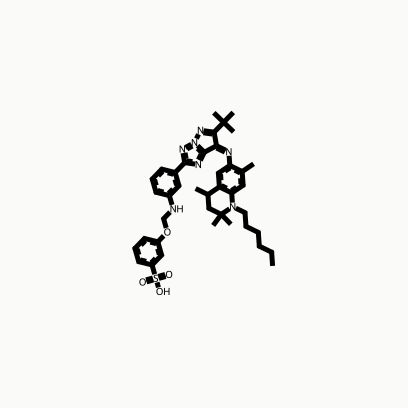 CCCCCCN1c2cc(C)c(/N=C3/C(C(C)(C)C)=Nn4nc(-c5cccc(NCOc6cccc(S(=O)(=O)O)c6)c5)nc43)cc2C(C)CC1(C)C